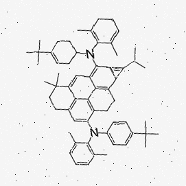 CC1=CCCC(C)=C1N(C1=c2cc3c4c(cc(N(c5ccc(C(C)(C)C)cc5)c5c(C)cccc5C)c5c4c2=C(CC5)C2C1=C2C(C)C)CCC3(C)C)C1CC=C(C(C)(C)C)CC1